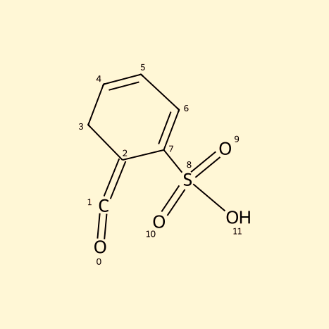 O=C=C1CC=CC=C1S(=O)(=O)O